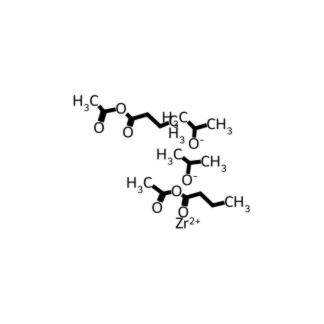 CC(C)[O-].CC(C)[O-].CCCC(=O)OC(C)=O.CCCC(=O)OC(C)=O.[Zr+2]